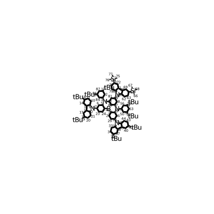 CC(C)(C)c1cc(N2c3cc(-n4c5ccc(C(C)(C)C)cc5c5cc(C(C)(C)C)ccc54)ccc3B3c4ccc(-n5c6ccc(C(C)(C)C)cc6c6cc(C(C)(C)C)ccc65)cc4N(c4cc(C(C)(C)C)cc(C(C)(C)C)c4)c4cc(-n5c6ccc([Si](C)(C)C)cc6c6cc([Si](C)(C)C)ccc65)cc2c43)cc(C(C)(C)C)c1